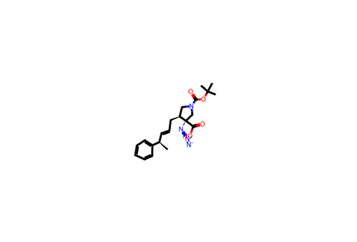 C[C@H](C=CC[C@H]1CN(C(=O)OC(C)(C)C)C[C@@]1(N=[N+]=[N-])C(=O)O)c1ccccc1